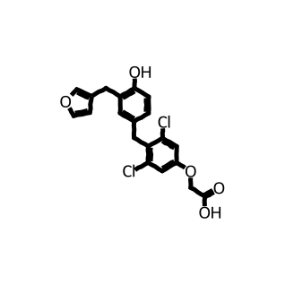 O=C(O)COc1cc(Cl)c(Cc2ccc(O)c(Cc3ccoc3)c2)c(Cl)c1